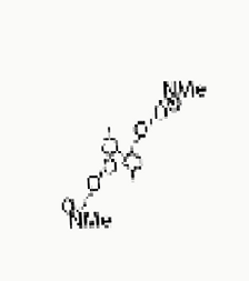 CNC(=O)CCCOCCOc1ccc(C)cc1-c1cc(C)ccc1CCOCCOCC(=O)NC